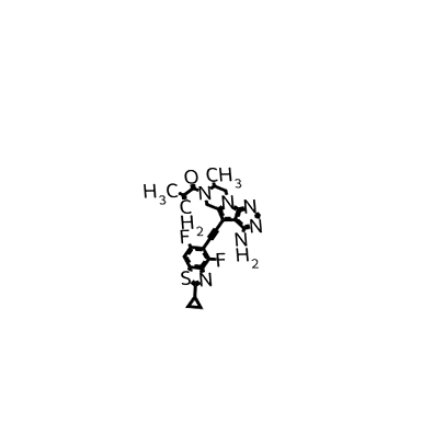 C=C(C)C(=O)N1Cc2c(C#Cc3c(F)cc4sc(C5CC5)nc4c3F)c3c(N)ncnc3n2CC1C